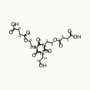 O=C(O)CCC(=O)OCCn1c(=O)n(CCO)c(=O)n(CCOC(=O)CCC(=O)O)c1=O